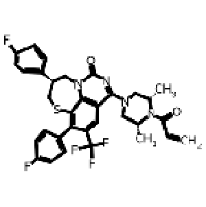 C=CC(=O)N1[C@H](C)CN(c2nc(=O)n3c4c(c(-c5ccc(F)cc5)c(C(F)(F)F)cc24)SC[C@@H](c2ccc(F)cc2)C3)C[C@@H]1C